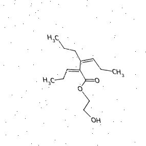 CCC=C(CCC)C(=CCC)C(=O)OCCO